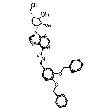 OC[C@H]1O[C@@H](n2cnc3c(N/N=C/c4ccc(OCc5ccccc5)c(OCc5ccccc5)c4)ncnc32)[C@H](O)[C@@H]1O